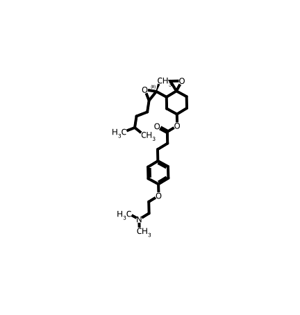 CC(C)CCC1O[C@]1(C)C1CC(OC(=O)CCc2ccc(OCCN(C)C)cc2)CCC12CO2